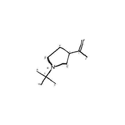 C=C(C)C1CCN(C(C)(C)C)C1